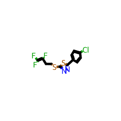 FC(F)=C(F)CCSc1nnc(-c2ccc(Cl)cc2)s1